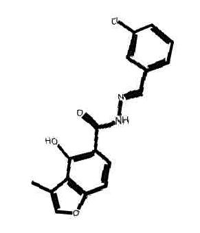 Cc1coc2ccc(C(=O)NN=Cc3cccc(Cl)c3)c(O)c12